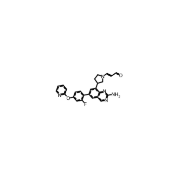 Nc1ncc2cc(-c3ccc(Oc4ccccn4)cc3F)cc(C3CCN(C=CC=O)C3)c2n1